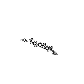 CCCCCCCCC(=O)Oc1ccc(-c2ccc(C(=O)Oc3ccc(C(=O)OC[C@@H](C)CC)cc3)cc2)cc1